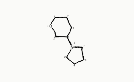 [C]1OCCCC1N1CCCC1